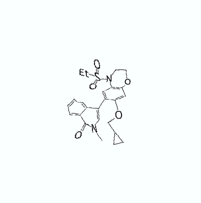 CCS(=O)(=O)N1CCOc2cc(OCC3CC3)c(-c3cn(C)c(=O)c4ccccc34)cc21